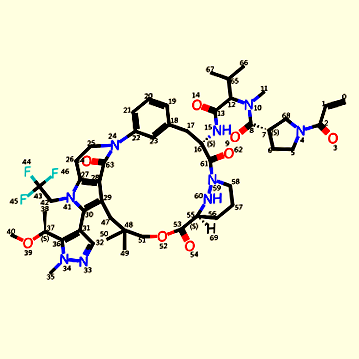 C=CC(=O)N1CC[C@H](C(=O)N(C)C(C(=O)N[C@H]2Cc3cccc(c3)N3CCc4c(c(c(-c5cnn(C)c5[C@H](C)OC)n4CC(F)(F)F)CC(C)(C)COC(=O)[C@@H]4CCCN(N4)C2=O)C3=O)C(C)C)C1